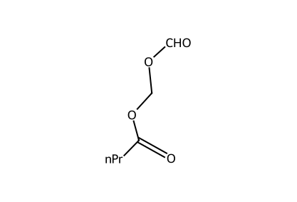 CCCC(=O)OCOC=O